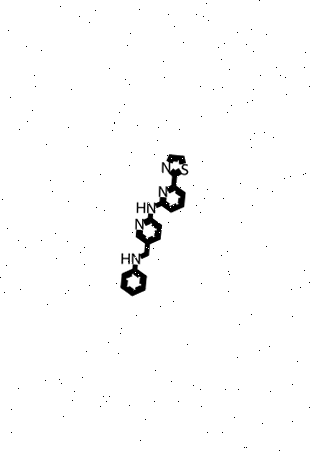 c1ccc(NCc2ccc(Nc3cccc(-c4nccs4)n3)nc2)cc1